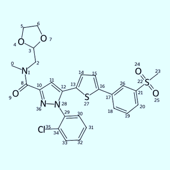 CN(CC1OCCO1)C(=O)c1cc(-c2ccc(-c3cccc(S(C)(=O)=O)c3)s2)n(-c2ccccc2Cl)n1